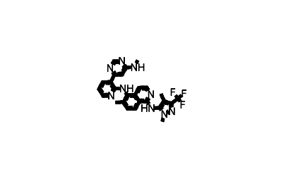 CNc1cc(-c2cccnc2Nc2c(C)ccc3c(Nc4c(C)c(C(F)(F)F)nn4C)nccc23)ncn1